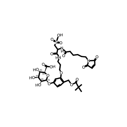 CC(C)(C)C(=O)OCc1ccc(O[C@@H]2O[C@H](C(=O)O)[C@@H](O)[C@H](O)[C@H]2O)cc1OCCCNC(=O)C(CS(=O)(=O)O)NC(=O)CCCCCN1C(=O)C=CC1=O